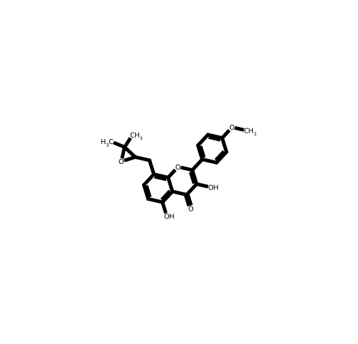 COc1ccc(-c2oc3c(CC4OC4(C)C)ccc(O)c3c(=O)c2O)cc1